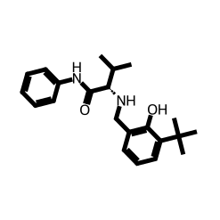 CC(C)[C@H](NCc1cccc(C(C)(C)C)c1O)C(=O)Nc1ccccc1